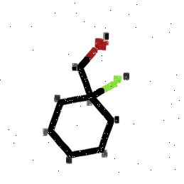 FC1(CBr)CCCCC1